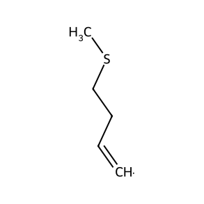 [CH]=CCCSC